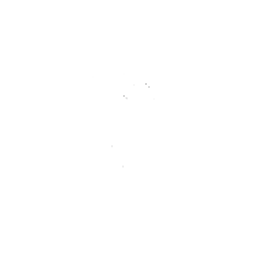 Cn1c(=O)c2cc(Cc3nc4ccccc4n3C)sc2n(CC2CC2)c1=O